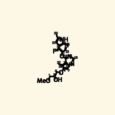 COC[C@H](O)COc1cn2ncnc(Oc3cnc4[nH]c(C)cc4c3F)c2c1C